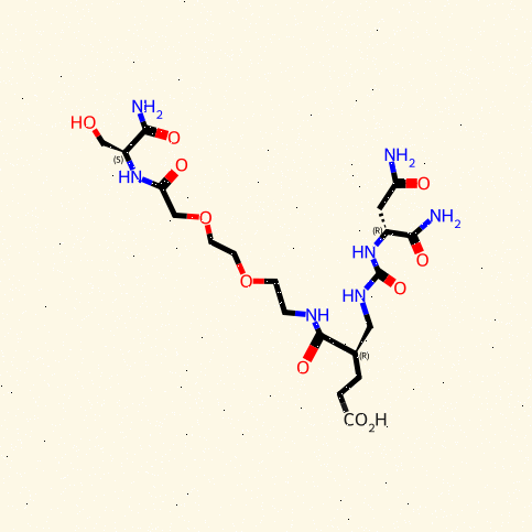 NC(=O)C[C@@H](NC(=O)NC[C@@H](CCC(=O)O)C(=O)NCCOCCOCC(=O)N[C@@H](CO)C(N)=O)C(N)=O